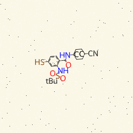 CC(C)(C)S(=O)(=O)Nc1cc(S)ccc1C(=O)NC12CCC(C#N)(CC1)CC2